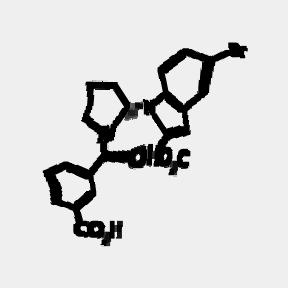 O=C(O)c1cccc(C(=O)N2CCC[C@@H]2n2c(C(=O)O)cc3cc(Br)ccc32)c1